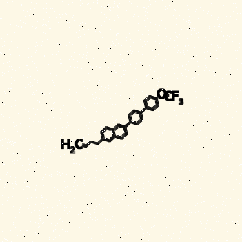 C=CCCc1ccc2cc(-c3ccc(-c4ccc(OC(F)(F)F)cc4)cc3)ccc2c1